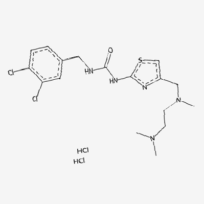 CN(C)CCN(C)Cc1csc(NC(=O)NCc2ccc(Cl)c(Cl)c2)n1.Cl.Cl